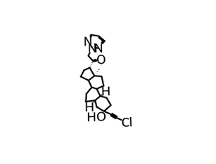 C[C@]12CCC3C(CC[C@@H]4C[C@@](O)(C#CCl)CC[C@H]34)C1CC[C@@H]2C(=O)CN1N=C=CC=N1